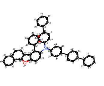 c1ccc(-c2ccc(-c3ccc(N(c4ccc(-c5ccccc5)cc4)c4ccc5oc6c7ccccc7ccc6c5c4-c4ccccc4)cc3)cc2)cc1